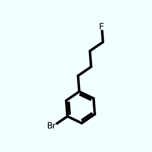 FCCCCc1cccc(Br)c1